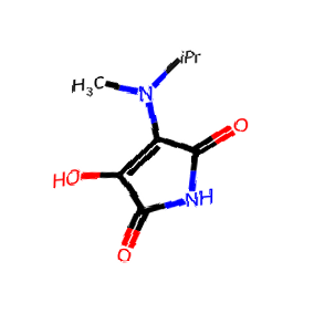 CC(C)N(C)C1=C(O)C(=O)NC1=O